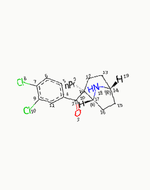 CCC[C@]1(C(=O)c2ccc(Cl)c(Cl)c2)CC[C@@H]2CC[C@H]1N2